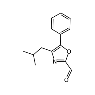 CC(C)Cc1nc(C=O)oc1-c1ccccc1